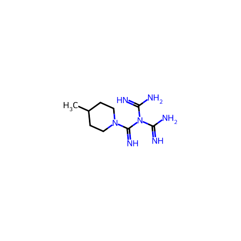 CC1CCN(C(=N)N(C(=N)N)C(=N)N)CC1